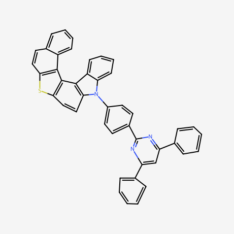 c1ccc(-c2cc(-c3ccccc3)nc(-c3ccc(-n4c5ccccc5c5c6c(ccc54)sc4ccc5ccccc5c46)cc3)n2)cc1